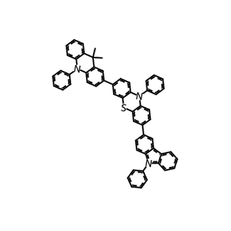 CC1(C)c2ccccc2N(c2ccccc2)c2ccc(-c3ccc4c(c3)Sc3cc(-c5ccc6c(c5)c5ccccc5n6-c5ccccc5)ccc3N4c3ccccc3)cc21